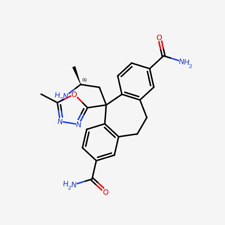 Cc1nnc(C2(C[C@H](C)N)c3ccc(C(N)=O)cc3CCc3cc(C(N)=O)ccc32)o1